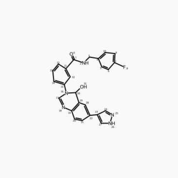 O=C(NCc1ccc(F)cc1)c1cccc(N2C=Nc3ccc(-c4cn[nH]c4)cc3C2O)c1